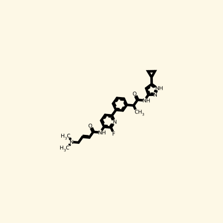 CC(C(=O)Nc1cc(C2CC2)[nH]n1)c1cccc(-c2ccc(NC(=O)C=CCN(C)C)c(F)n2)c1